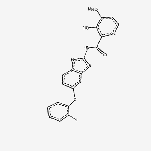 COc1ccnc(C(=O)Nc2nc3ccc(Oc4ccccc4F)cc3s2)c1O